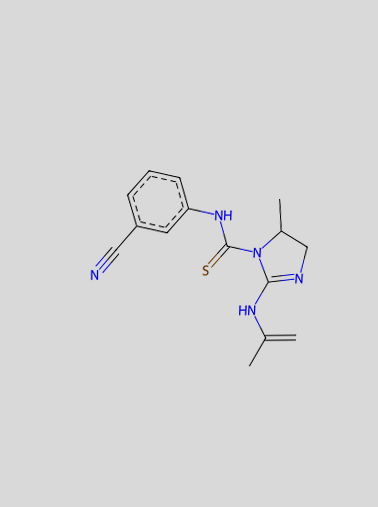 C=C(C)NC1=NCC(C)N1C(=S)Nc1cccc(C#N)c1